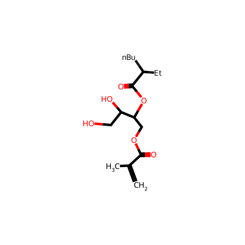 C=C(C)C(=O)OCC(OC(=O)C(CC)CCCC)C(O)CO